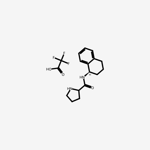 O=C(N[C@@H]1CCCc2ccccc21)C1CCCN1.O=C(O)C(F)(F)F